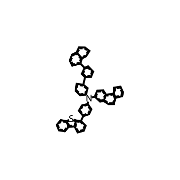 c1cc(-c2cccc(N(c3ccc(-c4cccc5c4sc4ccccc45)cc3)c3ccc4c(ccc5ccccc54)c3)c2)cc(-c2cccc3ccccc23)c1